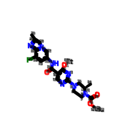 CCOc1nc(N2CCN(C(=O)OC(C)(C)C)[C@H](C)C2)ncc1C(=O)Nc1cc(F)c2nc(C)cn2c1